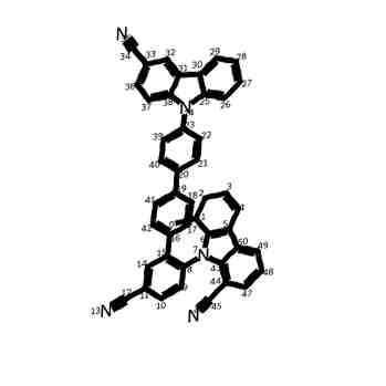 CC1CC=Cc2c1n(-c1ccc(C#N)cc1-c1ccc(-c3ccc(-n4c5ccccc5c5cc(C#N)ccc54)cc3)cc1)c1c(C#N)cccc21